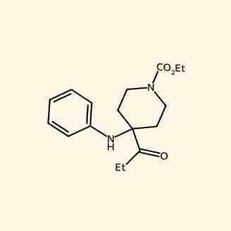 CCOC(=O)N1CCC(Nc2ccccc2)(C(=O)CC)CC1